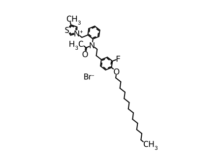 CCCCCCCCCCCCCCOc1ccc(CCN(C(C)=O)c2ccccc2C[n+]2csc(C)c2)cc1F.[Br-]